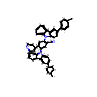 Cc1ccc(-c2ccc3c(c2)c2ccccc2n3-c2cc(-c3ccncc3)c(-n3c4ccccc4c4cc(-c5ccc(C)cc5)ccc43)cc2C#N)cc1